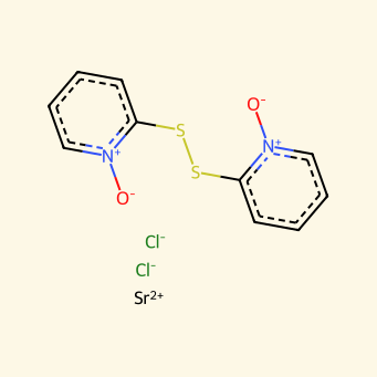 [Cl-].[Cl-].[O-][n+]1ccccc1SSc1cccc[n+]1[O-].[Sr+2]